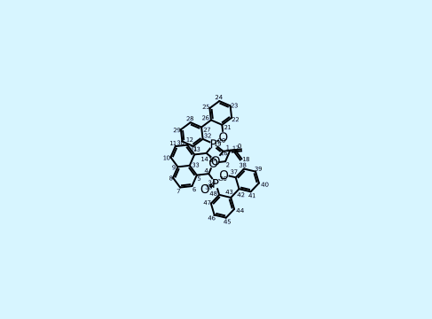 C=CCOC(c1cccc2cccc(C3OC(C=C)=P34Oc3ccccc3-c3ccccc34)c12)P1(=O)Oc2ccccc2-c2ccccc21